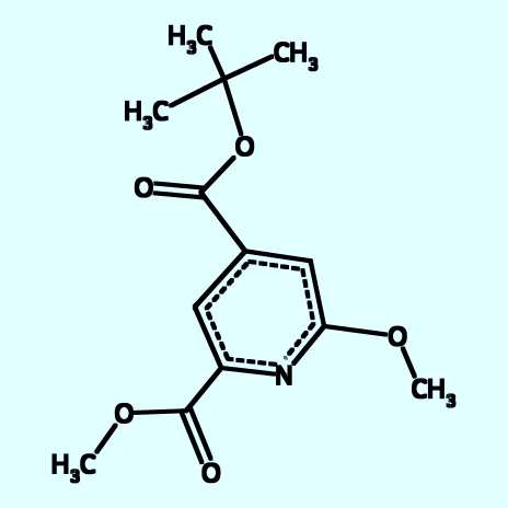 COC(=O)c1cc(C(=O)OC(C)(C)C)cc(OC)n1